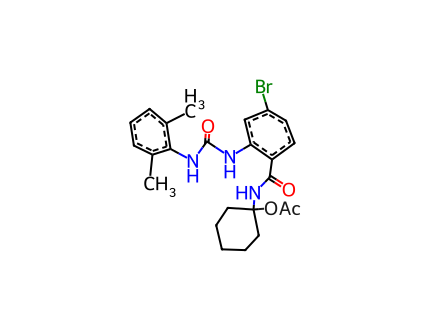 CC(=O)OC1(NC(=O)c2ccc(Br)cc2NC(=O)Nc2c(C)cccc2C)CCCCC1